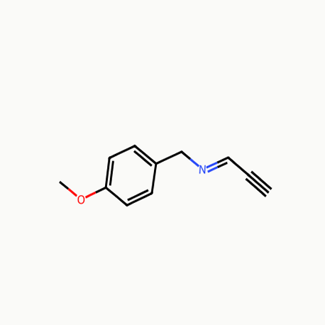 C#CC=NCc1ccc(OC)cc1